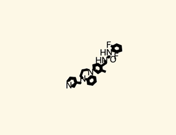 Cc1cc(N2CCCN(Cc3cccnc3)c3ccccc32)ccc1CNC(=O)Nc1c(F)cccc1F